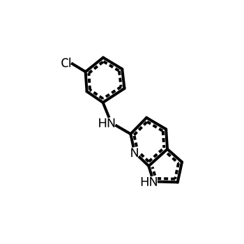 Clc1cccc(Nc2ccc3cc[nH]c3n2)c1